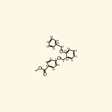 COC(=O)c1ccc(OCc2ccccc2OCc2ccccc2)cc1